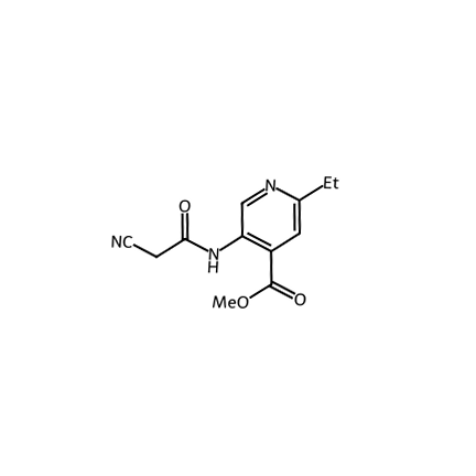 CCc1cc(C(=O)OC)c(NC(=O)CC#N)cn1